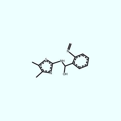 C=Nc1ccccc1C(O)Nc1nc(C)c(C)s1